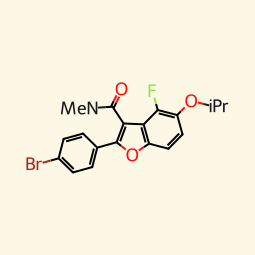 CNC(=O)c1c(-c2ccc(Br)cc2)oc2ccc(OC(C)C)c(F)c12